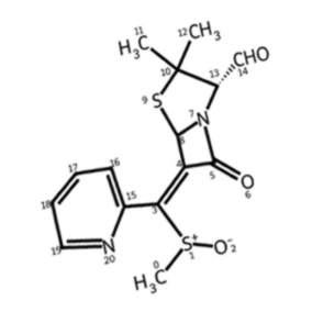 C[S+]([O-])/C(=C1\C(=O)N2C1SC(C)(C)[C@@H]2C=O)c1ccccn1